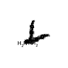 CCCCC1CCC(COc2ccc(/C=C/C(=O)CC(c3ccc(N)cc3N)C(O)(O)C(=O)/C=C/c3ccc(OCC4CCC(CCCC)CC4)cc3)cc2)CC1